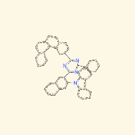 c1ccc(-c2nc(-c3ccc4ccc5ccc6ccccc6c5c4c3)nc(-c3cc4ccccc4cc3-n3c4ccccc4c4ccccc43)n2)cc1